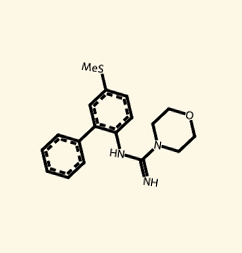 CSc1ccc(NC(=N)N2CCOCC2)c(-c2ccccc2)c1